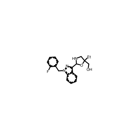 CCC1(CO)CNC(c2nn(Cc3ccccc3F)c3ccccc23)O1